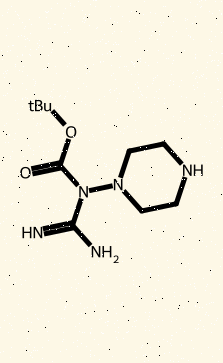 CC(C)(C)OC(=O)N(C(=N)N)N1CCNCC1